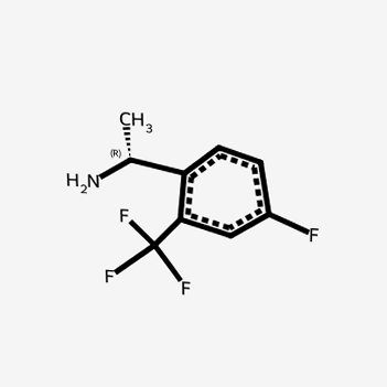 C[C@@H](N)c1ccc(F)cc1C(F)(F)F